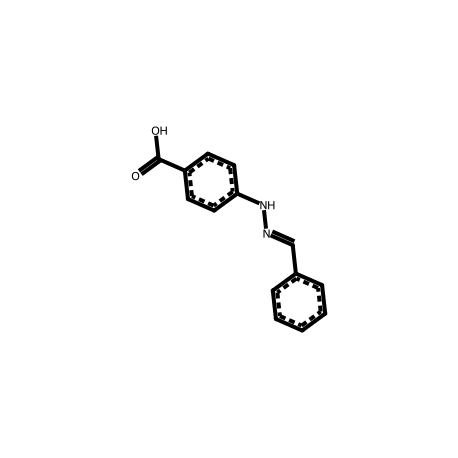 O=C(O)c1ccc(N/N=C/c2ccccc2)cc1